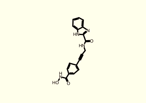 O=C(NO)c1ccc(C#CCNC(=O)c2nc3ccccc3[nH]2)cc1